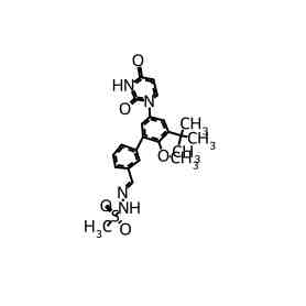 COc1c(-c2cccc(C=NNS(C)(=O)=O)c2)cc(-n2ccc(=O)[nH]c2=O)cc1C(C)(C)C